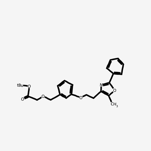 Cc1oc(-c2ccccc2)nc1CCOc1cccc(COCC(=O)OC(C)(C)C)c1